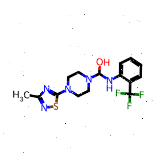 Cc1nsc(N2CCN(C(O)Nc3ccccc3C(F)(F)F)CC2)n1